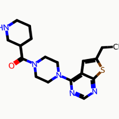 O=C(C1CCCNC1)N1CCN(c2ncnc3sc(CC(F)(F)F)cc23)CC1